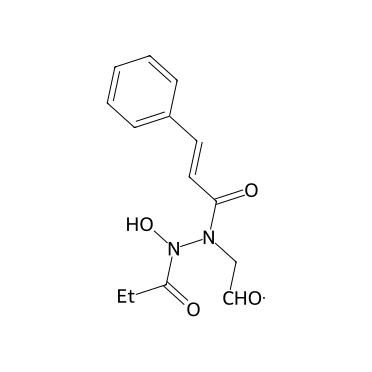 CCC(=O)N(O)N(C[C]=O)C(=O)C=Cc1ccccc1